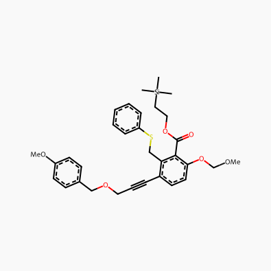 COCOc1ccc(C#CCOCc2ccc(OC)cc2)c(CSc2ccccc2)c1C(=O)OCC[Si](C)(C)C